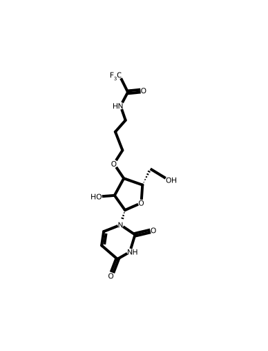 O=C(NCCCOC1C(O)[C@@H](n2ccc(=O)[nH]c2=O)O[C@H]1CO)C(F)(F)F